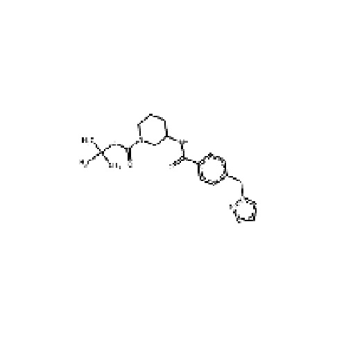 CC(C)(C)OC(=O)N1CCCC(NC(=O)c2ccc(Cn3cccn3)cc2)C1